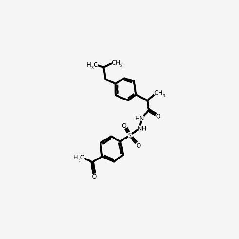 CC(=O)c1ccc(S(=O)(=O)NNC(=O)C(C)c2ccc(CC(C)C)cc2)cc1